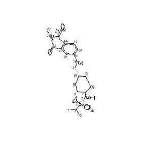 CC(C)S(=O)(=O)N[C@H]1CC[C@H](CNc2ccc3c(c2)C(=O)N(C)C3=O)CC1